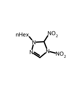 CCCCCCN1N=CN([N+](=O)[O-])C1[N+](=O)[O-]